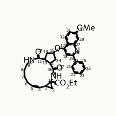 CCOC(=O)C12CC1C=CCCCCNC(=O)C1CC(Oc3cc(-c4ccccc4)nc4cc(OC)ccc34)CC1C(=O)N2